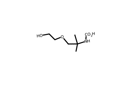 CC(C)(COCCO)NC(=O)O